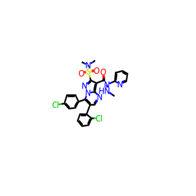 CNN(C(=O)c1c(S(=O)(=O)N(C)C)nn2c(-c3ccc(Cl)cc3)c(-c3ccccc3Cl)cnc12)c1ccccn1